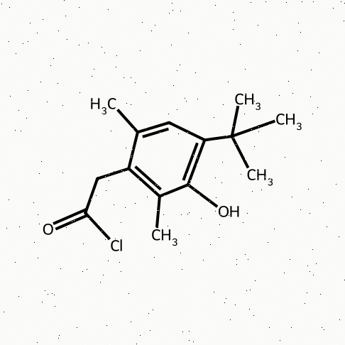 Cc1cc(C(C)(C)C)c(O)c(C)c1CC(=O)Cl